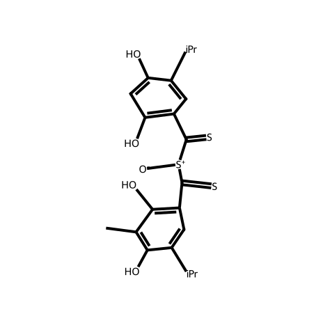 Cc1c(O)c(C(=S)[S+]([O-])C(=S)c2cc(C(C)C)c(O)cc2O)cc(C(C)C)c1O